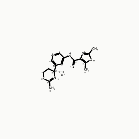 Cc1nc(C(=O)Nc2cncc([C@]3(C)CCSC(N)=N3)c2)c(C(F)(F)F)o1